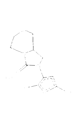 Cc1cc(N2CC3CNCCN3C2=O)c(C(F)(F)F)o1.Cl